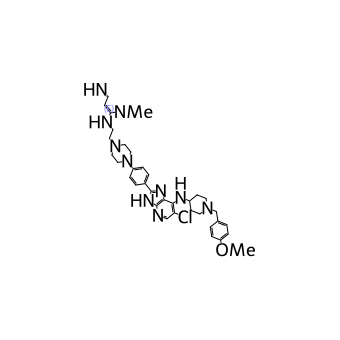 CN/C(=C\C=N)NCCN1CCN(c2ccc(-c3nc4c(NC5CCN(Cc6ccc(OC)cc6)CC5)c(Cl)cnc4[nH]3)cc2)CC1